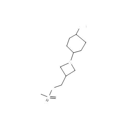 CCOC(=O)C1CCC(N2CC(COS(C)(=O)=O)C2)CC1